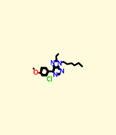 CCCCCCn1c(CC)nc2c(-c3ccc(OC)cc3Cl)ncnc21